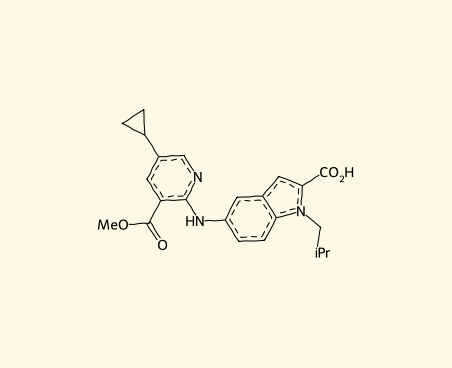 COC(=O)c1cc(C2CC2)cnc1Nc1ccc2c(c1)cc(C(=O)O)n2CC(C)C